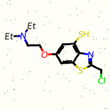 CCN(CC)CCOc1cc(S)c2nc(CCl)sc2c1